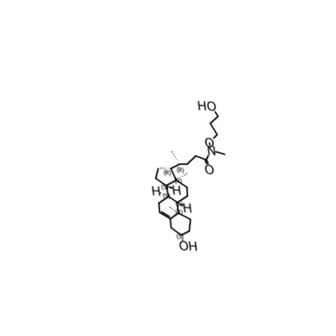 C[C@H](CCC(=O)N(C)OCCCO)[C@H]1CC[C@H]2[C@@H]3CC=C4C[C@@H](O)CC[C@]4(C)[C@H]3CC[C@]12C